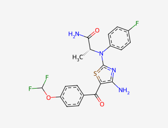 C[C@H](C(N)=O)N(c1ccc(F)cc1)c1nc(N)c(C(=O)c2ccc(OC(F)F)cc2)s1